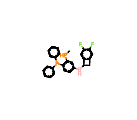 CPc1cc(BC2Cc3cc(F)c(F)cc32)ccc1P(c1ccccc1)c1ccccc1